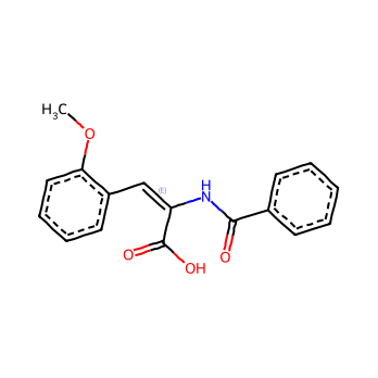 COc1ccccc1/C=C(/NC(=O)c1ccccc1)C(=O)O